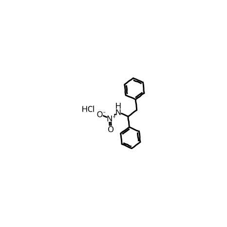 Cl.O=[N+]([O-])NC(Cc1ccccc1)c1ccccc1